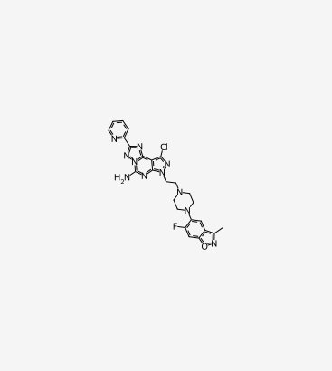 Cc1noc2cc(F)c(N3CCN(CCn4nc(Cl)c5c4nc(N)n4nc(-c6ccccn6)nc54)CC3)cc12